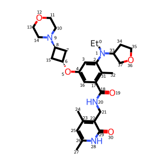 CCN(c1cc(O[C@H]2C[C@H](N3CCOCC3)C2)cc(C(=O)NCc2c(C)cc(C)[nH]c2=O)c1C)C1CCOC1